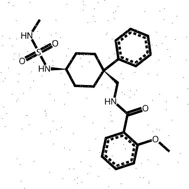 CNS(=O)(=O)N[C@H]1CC[C@](CNC(=O)c2ccccc2OC)(c2ccccc2)CC1